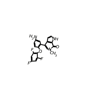 Cn1cc(-c2cc(N)ccc2Oc2c(F)cc(F)cc2F)c2cc[nH]c2c1=O